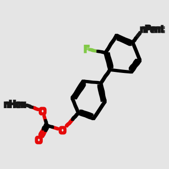 CCCCCCOC(=O)Oc1ccc(-c2ccc(CCCCC)cc2F)cc1